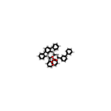 c1ccc(-c2cccc(-c3nc(-c4ccccc4)nc(-n4c5ccccc5c5ccc6c7ccccc7n(-c7nc8ccccc8s7)c6c54)n3)c2)cc1